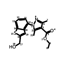 CCOC(=O)c1c(C)nn(-c2cccc3sc(CO)cc23)c1C